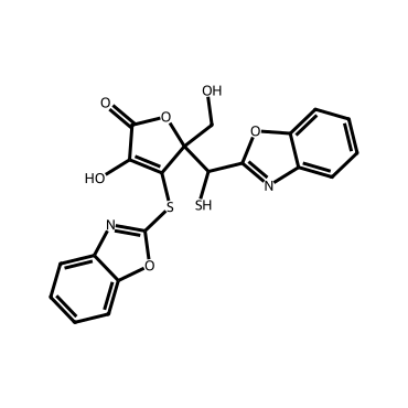 O=C1OC(CO)(C(S)c2nc3ccccc3o2)C(Sc2nc3ccccc3o2)=C1O